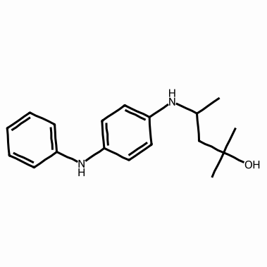 CC(CC(C)(C)O)Nc1ccc(Nc2ccccc2)cc1